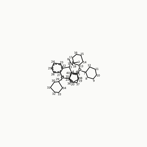 CN(C)C(C1=C(P(C2CCCCC2)C2CCCCC2)CC=C1)c1ccccc1P(C1CCCCC1)C1CCCCC1